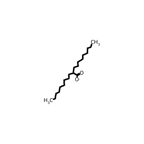 CCCCCCCCCC(CCCCCCCCC)C([O])=O